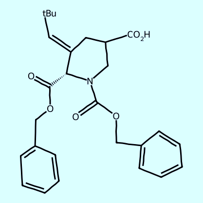 CC(C)(C)C=C1CC(C(=O)O)CN(C(=O)OCc2ccccc2)[C@@H]1C(=O)OCc1ccccc1